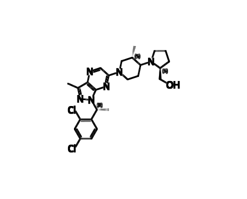 Cc1nn([C@H](C)c2ccc(Cl)cc2Cl)c2nc(N3CCC(N4CCC[C@H]4CO)[C@@H](C)C3)cnc12